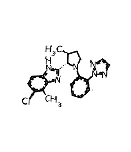 Cc1c(Cl)ccc2[nH]c([C@@H]3[C@@H](C)CCN3c3ccc[c]c3-n3nccn3)nc12